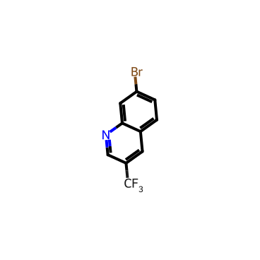 FC(F)(F)c1cnc2cc(Br)ccc2c1